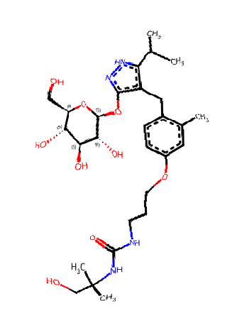 Cc1cc(OCCCNC(=O)NC(C)(C)CO)ccc1Cc1c(O[C@@H]2O[C@H](CO)[C@@H](O)[C@H](O)[C@H]2O)n[nH]c1C(C)C